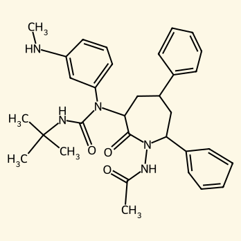 CNc1cccc(N(C(=O)NC(C)(C)C)C2CC(c3ccccc3)CC(c3ccccc3)N(NC(C)=O)C2=O)c1